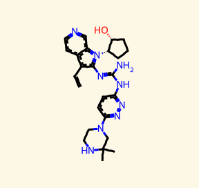 C=Cc1c(/N=C(\N)Nc2ccc(N3CCNC(C)(C)C3)nn2)n([C@H]2CCC[C@H]2O)c2cnccc12